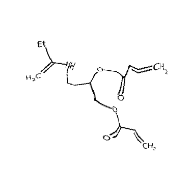 C=CC(=O)OCC(CNC(=C)CC)OC(=O)C=C